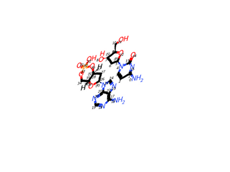 Nc1ccn([C@H]2C[C@H](O)[C@@H](CO)O2)c(=O)n1.Nc1ncnc2c1ncn2[C@H]1C[C@@H]2OP(=O)(O)OC[C@H]2O1